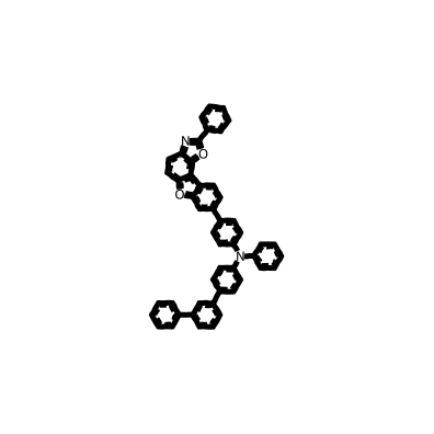 c1ccc(-c2cccc(-c3ccc(N(c4ccccc4)c4ccc(-c5ccc6c(c5)oc5ccc7nc(-c8ccccc8)oc7c56)cc4)cc3)c2)cc1